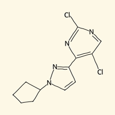 Clc1ncc(Cl)c(-c2ccn(C3CCCC3)n2)n1